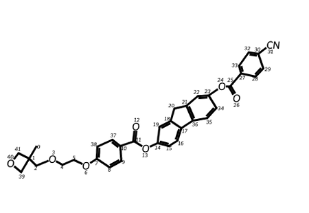 CC1(COCCOc2ccc(C(=O)Oc3ccc4c(c3)Cc3cc(OC(=O)c5ccc(C#N)cc5)ccc3-4)cc2)COC1